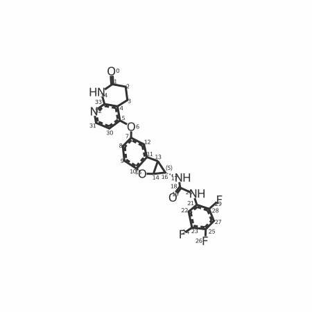 O=C1CCc2c(Oc3ccc4c(c3)C3C(O4)[C@H]3NC(=O)Nc3cc(F)c(F)cc3F)ccnc2N1